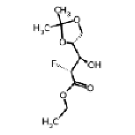 CCOC(=O)[C@H](F)[C@H](O)[C@H]1COC(C)(C)O1